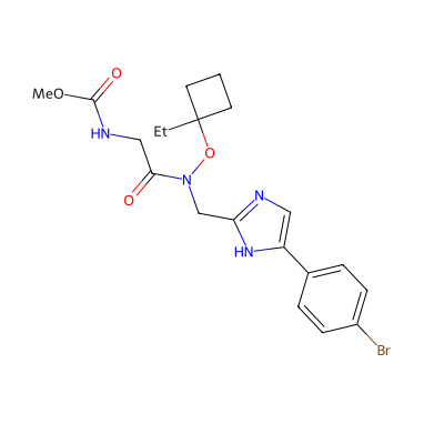 CCC1(ON(Cc2ncc(-c3ccc(Br)cc3)[nH]2)C(=O)CNC(=O)OC)CCC1